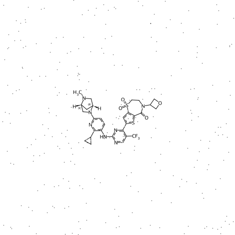 CN1C[C@H]2C[C@@H]1CN2c1ccc(Nc2ncc(C(F)(F)F)c(-c3cc4c(s3)C(=O)N(C3COC3)CCS4(=O)=O)n2)c(C2CC2)n1